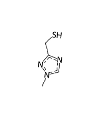 Cn1cnc(CS)n1